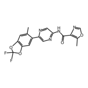 Cc1cc2c(cc1-c1cnc(NC(=O)c3ncoc3C)cn1)OC(F)(F)O2